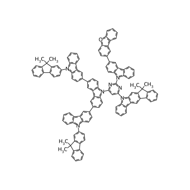 CC1(C)c2ccccc2-c2ccc(-n3c4ccccc4c4cc(-c5ccc6c(c5)c5cc(-c7ccc8c(c7)c7ccccc7n8-c7ccc8c(c7)C(C)(C)c7ccccc7-8)ccc5n6-c5cc(-n6c7ccccc7c7cc8c(cc76)C(C)(C)c6ccccc6-8)nc(-n6c7ccccc7c7cc(-c8ccc9oc%10ccccc%10c9c8)ccc76)n5)ccc43)cc21